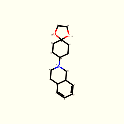 C1=CC2CCN(C3CCC4(CC3)OCCO4)CC2C=C1